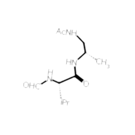 CC(=O)NC[C@H](C)NC(=O)[C@@H](NC=O)C(C)C